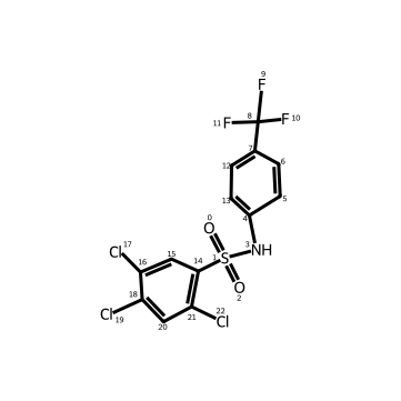 O=S(=O)(Nc1ccc(C(F)(F)F)cc1)c1cc(Cl)c(Cl)cc1Cl